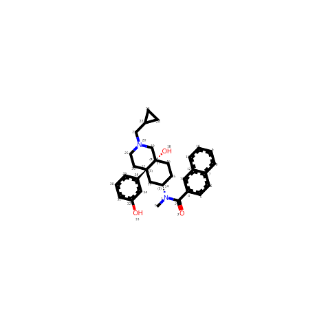 CN(C(=O)c1ccc2ccccc2c1)[C@H]1CC[C@]2(O)CN(CC3CC3)CC[C@@]2(c2cccc(O)c2)C1